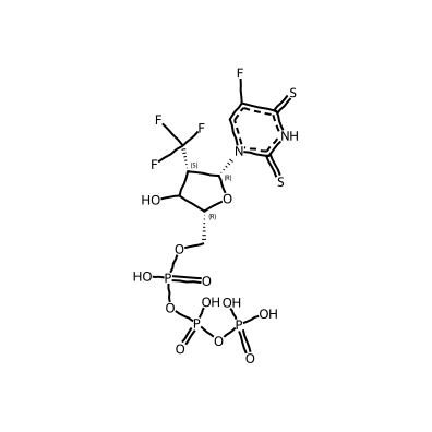 O=P(O)(O)OP(=O)(O)OP(=O)(O)OC[C@H]1O[C@@H](n2cc(F)c(=S)[nH]c2=S)[C@@H](C(F)(F)F)C1O